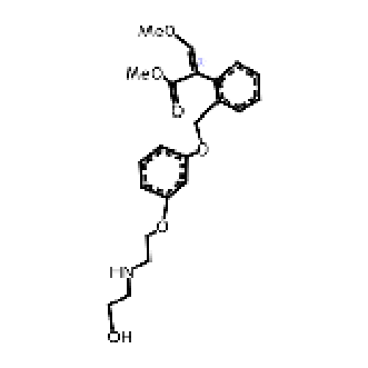 CO/C=C(\C(=O)OC)c1ccccc1COc1cccc(OCCNCCO)c1